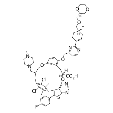 Cc1c(Cl)c2c(Cl)c(C)c1-c1c(-c3ccc(F)cc3)sc3ncnc(c13)O[C@@H](C(=O)O)Cc1cc(ccc1OCc1ccnc(C3=CC[C@@](F)(COC[C@H]4COCCO4)CC3)n1)OCC(CN1CCN(C)CC1)C2